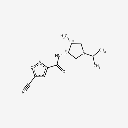 CC(C)N1C[C@@H](C)[C@@H](NC(=O)c2cc(C#N)on2)C1